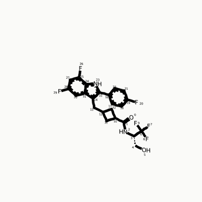 O=C(N[C@@H](CO)C(F)(F)F)C1CC(Cc2c(-c3ccc(F)cc3)[nH]c3c(F)cc(F)cc23)C1